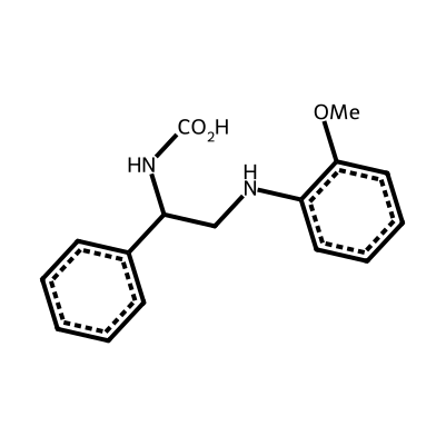 COc1ccccc1NCC(NC(=O)O)c1ccccc1